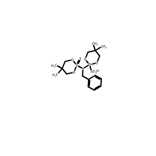 CC1(C)COP(=S)(N(Cc2ccccc2)[PH]2(S(=O)(=O)O)OCC(C)(C)CO2)OC1